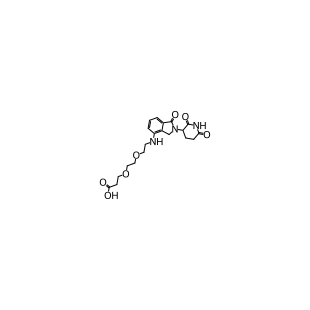 O=C(O)CCOCCOCCNc1cccc2c1CN(C1CCC(=O)NC1=O)C2=O